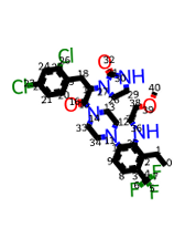 CCc1c(C(F)(F)F)ccc(N2CCN(C(=O)C(Cc3ccc(Cl)cc3Cl)N3CCNC3=O)CC2)c1NCCOC